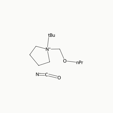 CCCOC[N+]1(C(C)(C)C)CCCC1.[N-]=C=O